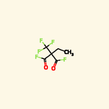 CCC(C(=O)F)(C(=O)F)C(F)(F)F